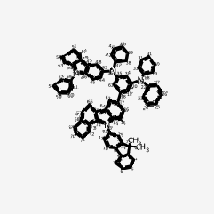 CC1(C)c2ccccc2-c2ccc(-n3c4ccc(-c5cc(N(c6ccccc6)c6ccccc6)cc(N(c6ccccc6)c6ccc7c(c6)c6ccccc6n7-c6ccccc6)c5)cc4c4ccc5ccccc5c43)cc21